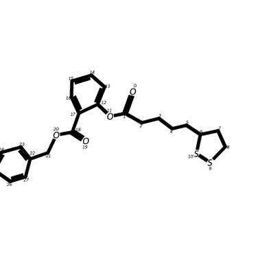 O=C(CCCCC1CCSS1)Oc1ccccc1C(=O)OCc1ccccc1